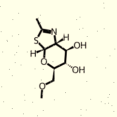 COC[C@H]1O[C@@H]2SC(C)=N[C@@H]2[C@@H](O)[C@@H]1O